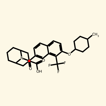 CC1CCC(Oc2ccc3ccc(C(=O)N4C5CCCC4CC(C(=O)O)C5)cc3c2C(F)(F)F)CC1